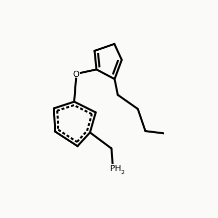 CCCCC1=CCC=C1Oc1cccc(CP)c1